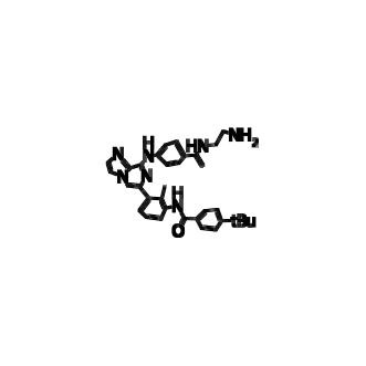 C=C(NCCN)c1ccc(Nc2nc(-c3cccc(NC(=O)c4ccc(C(C)(C)C)cc4)c3C)cn3ccnc23)cc1